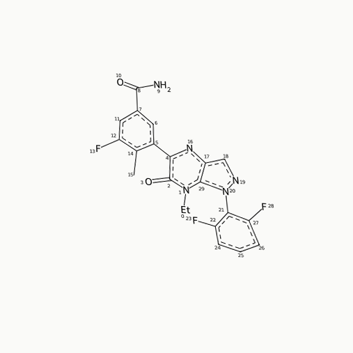 CCn1c(=O)c(-c2cc(C(N)=O)cc(F)c2C)nc2cnn(-c3c(F)cccc3F)c21